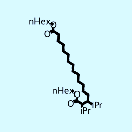 CCCCCCOC(=O)CCCCCCCCCCCCCC(C(C)C)C(C(=O)OCCCCCC)C(C)C